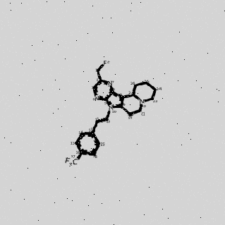 FCc1cnc2c(n1)c1c(n2CCc2ccc(C(F)(F)F)cc2)CCN2CCCCC12